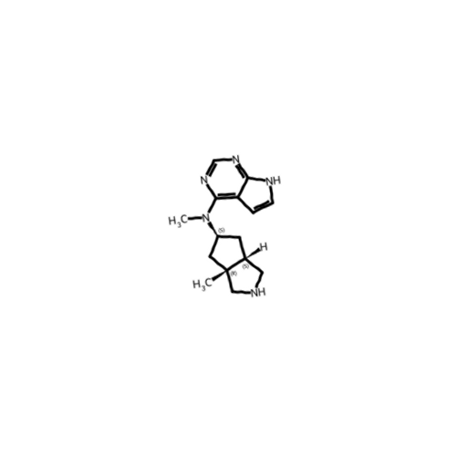 CN(c1ncnc2[nH]ccc12)[C@H]1C[C@@H]2CNC[C@]2(C)C1